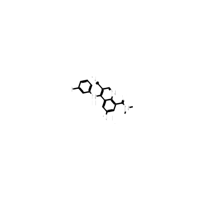 CN(C)C(=O)c1cc(N)cc2c(Nc3cccc(Cl)c3)c(C#N)cnc12